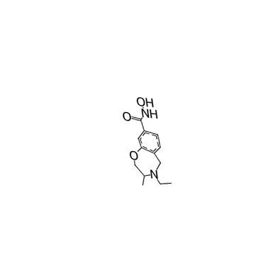 CCN1Cc2ccc(C(=O)NO)cc2OCC1C